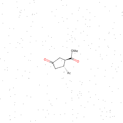 COC(=O)[C@@H]1CC(=O)C[C@H]1C(C)=O